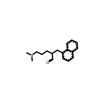 CN(C)CCCC([C]=O)Cc1cccc2ccccc12